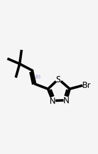 CC(C)(C)/C=C/c1nnc(Br)s1